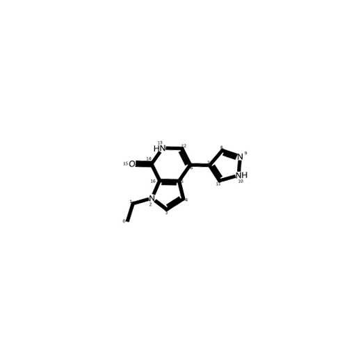 CCn1ccc2c(-c3cn[nH]c3)c[nH]c(=O)c21